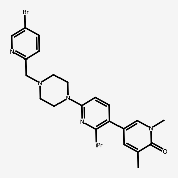 Cc1cc(-c2ccc(N3CCN(Cc4ccc(Br)cn4)CC3)nc2C(C)C)cn(C)c1=O